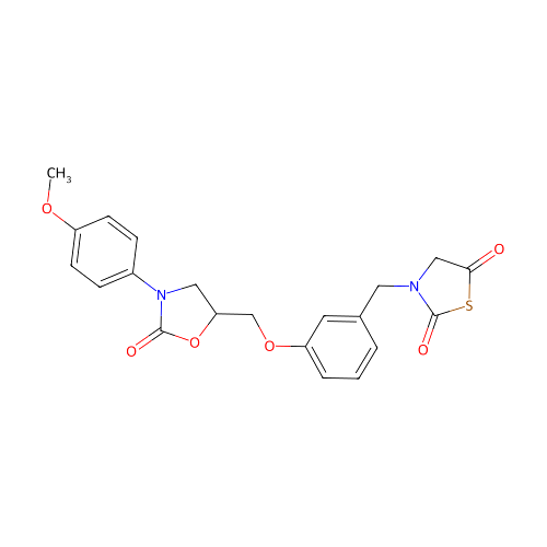 COc1ccc(N2CC(COc3cccc(CN4CC(=O)SC4=O)c3)OC2=O)cc1